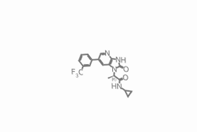 C[C@H](C(=O)NC1CC1)n1c(=O)[nH]c2ncc(-c3cccc(C(F)(F)F)c3)cc21